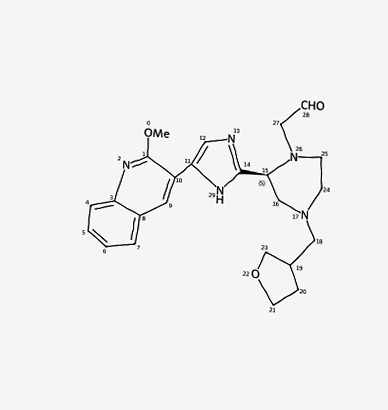 COc1nc2ccccc2cc1-c1cnc([C@@H]2CN(CC3CCOC3)CCN2CC=O)[nH]1